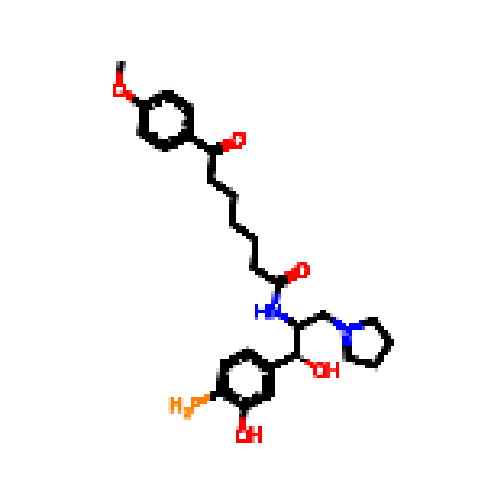 COc1ccc(C(=O)CCCCCC(=O)NC(CN2CCCC2)[C@H](O)c2ccc(P)c(O)c2)cc1